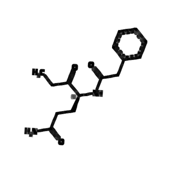 CCC(=O)[C@H](CCC(N)=O)NC(=O)Cc1ccccc1